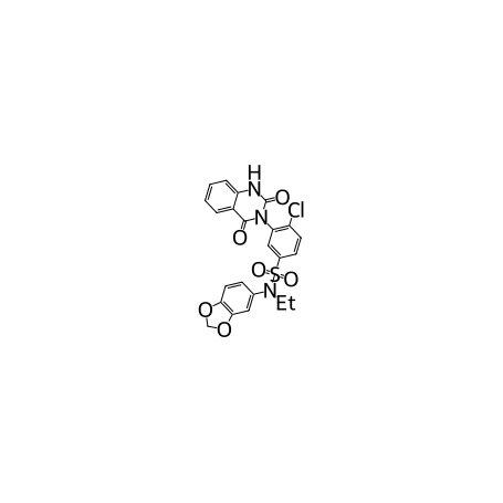 CCN(c1ccc2c(c1)OCO2)S(=O)(=O)c1ccc(Cl)c(-n2c(=O)[nH]c3ccccc3c2=O)c1